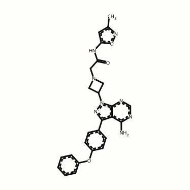 Cc1cc(NC(=O)CN2CC(n3nc(-c4ccc(Oc5ccccc5)cc4)c4c(N)ncnc43)C2)on1